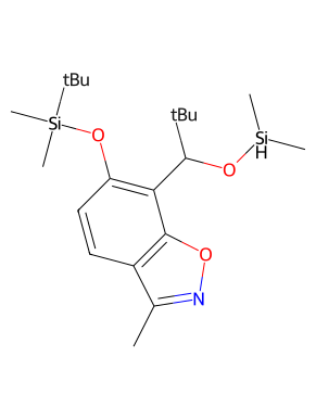 Cc1noc2c(C(O[SiH](C)C)C(C)(C)C)c(O[Si](C)(C)C(C)(C)C)ccc12